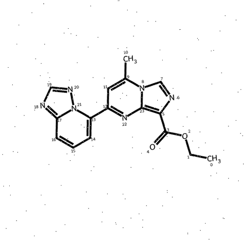 CCOC(=O)c1ncn2c(C)cc(-c3cccc4ncnn34)nc12